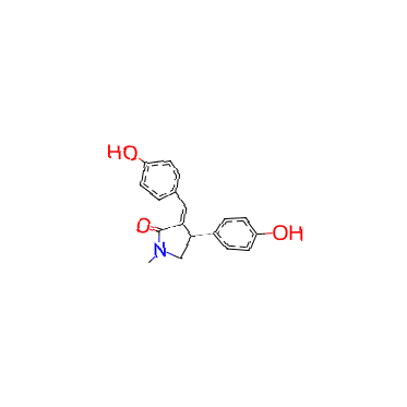 CN1CC(c2ccc(O)cc2)C(=Cc2ccc(O)cc2)C1=O